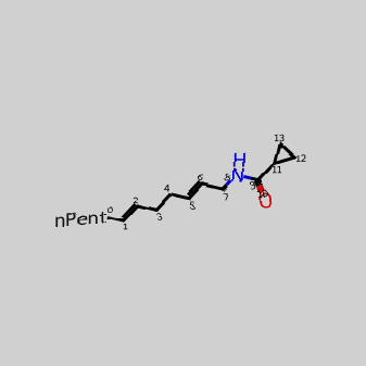 CCCCCC=CCCC=CCNC(=O)C1CC1